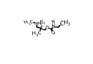 CCNC(=O)OCC(C)(C)CNC